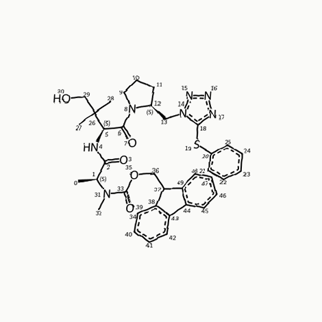 C[C@@H](C(=O)N[C@H](C(=O)N1CCC[C@H]1Cn1nnnc1Sc1ccccc1)C(C)(C)CO)N(C)C(=O)OCC1c2ccccc2-c2ccccc21